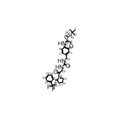 CC(C)(C)[Si](C)(C)O[C@@H]1COc2cc(CNC(=O)NCC(=O)N3CCC[C@@H]3c3ccccc3C(F)(F)F)ccc2N1